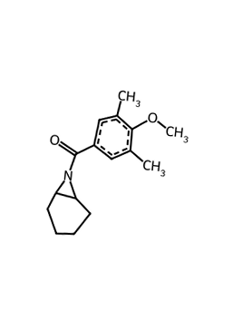 COc1c(C)cc(C(=O)N2C3CCCCC32)cc1C